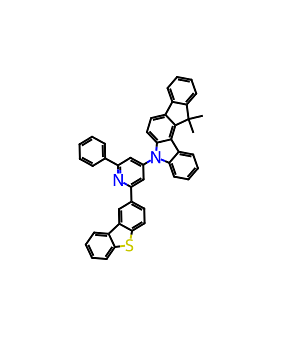 CC1(C)c2ccccc2-c2ccc3c(c21)c1ccccc1n3-c1cc(-c2ccccc2)nc(-c2ccc3sc4ccccc4c3c2)c1